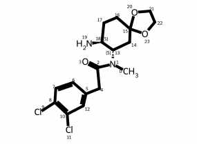 CN(C(=O)Cc1ccc(Cl)c(Cl)c1)[C@H]1CC2(CC[C@@H]1N)OCCO2